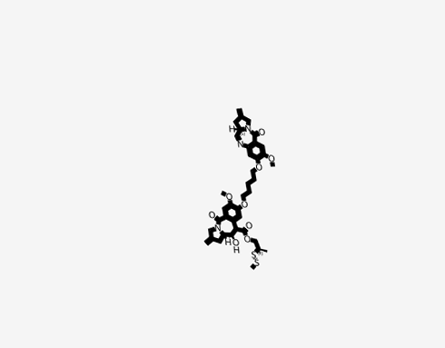 C=C1C[C@H]2C=Nc3cc(OCCCCCOc4cc5c(cc4OC)C(=O)N4CC(=C)C[C@H]4[C@H](O)C5C(=O)OC[C@@H](C)SSC)c(OC)cc3C(=O)N2C1